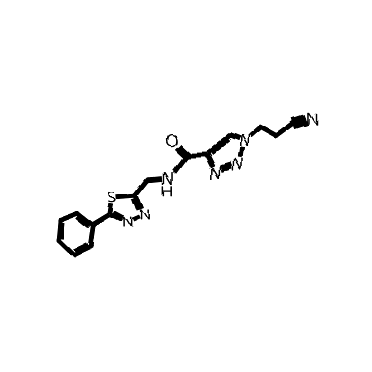 N#CCCn1cc(C(=O)NCc2nnc(-c3ccccc3)s2)nn1